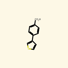 O=C(O)c1ccc(-c2ccsc2)cc1